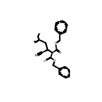 CC(C)CC(C#N)C(C(=O)OCc1ccccc1)C(=O)OCc1ccccc1